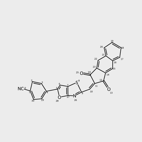 N#Cc1ccc(-c2cc3sc(C=C4C(=O)c5cc6ccccc6cc5C4=O)nc3o2)cc1